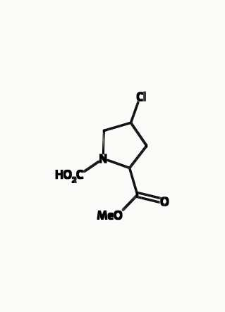 COC(=O)C1CC(Cl)CN1C(=O)O